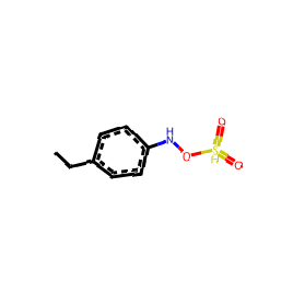 CCc1ccc(NO[SH](=O)=O)cc1